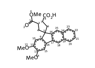 COC(=O)CCC1(CCC(=O)O)c2cc(OC)c(OC)cc2-c2cc3ccccc3cc21